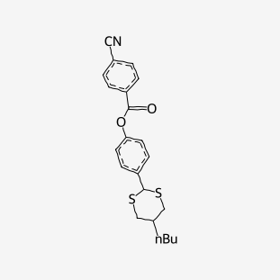 CCCCC1CSC(c2ccc(OC(=O)c3ccc(C#N)cc3)cc2)SC1